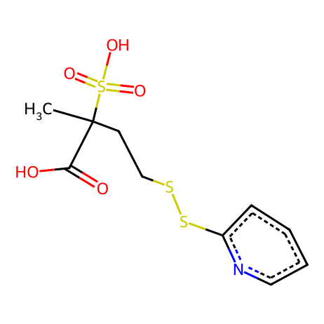 CC(CCSSc1ccccn1)(C(=O)O)S(=O)(=O)O